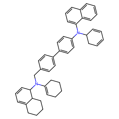 C1=CCC(N(c2ccc(-c3ccc(CN(C4=CCCCC4)C4C=CC=C5CCCCC54)cc3)cc2)c2cccc3ccccc23)C=C1